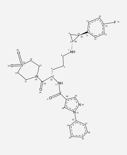 O=C(N[C@@H](CCCN[C@@H]1C[C@H]1c1ccc(F)cc1)C(=O)N1CCS(=O)(=O)CC1)c1cnn(-c2ccccc2)c1